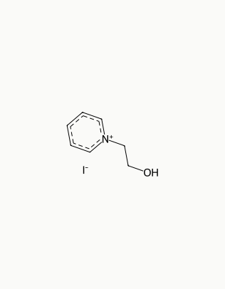 OCC[n+]1ccccc1.[I-]